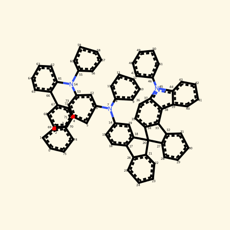 c1ccc(-c2cc(N(c3ccccc3)c3ccc4c(c3)C3(c5ccccc5-4)c4ccccc4-c4c3ccc3c4c4ccccc4n3-c3ccccc3)cc(N(c3ccccc3)c3ccccc3-c3ccccc3)c2)cc1